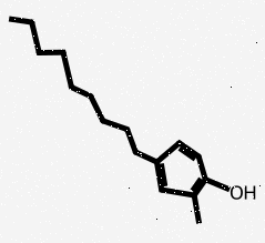 CCCCCCCCCc1ccc(O)c(C)c1